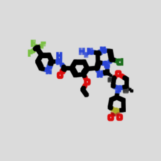 CCOc1cc(C(=O)Nc2cc(C(F)(F)F)ccn2)ccc1-c1nc([C@H]2CN(C3CCS(=O)(=O)CC3)[C@@H](C)CO2)n2c(Cl)cnc(N)c12